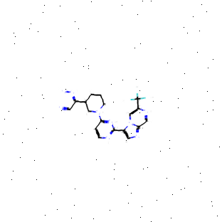 N=C/C(=N\N)C1CCCN(c2ccnc(-c3cnc4cnc(C(F)(F)F)cn34)n2)C1